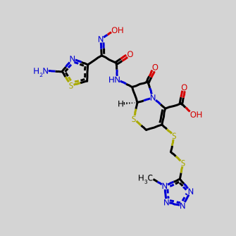 Cn1nnnc1SCSC1=C(C(=O)O)N2C(=O)C(NC(=O)/C(=N\O)c3csc(N)n3)[C@@H]2SC1